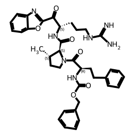 C[C@H]1CCN(C(=O)[C@@H](CCc2ccccc2)NC(=O)OCc2ccccc2)[C@@H]1C(=O)N[C@@H](CCCNC(=N)N)C(=O)c1nc2ccccc2o1